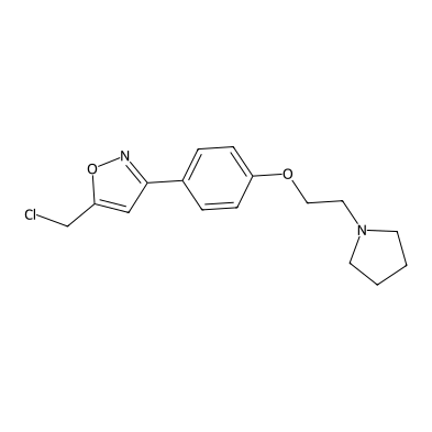 ClCc1cc(-c2ccc(OCCN3CCCC3)cc2)no1